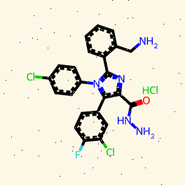 Cl.NCc1ccccc1-c1nc(C(=O)NN)c(-c2ccc(F)c(Cl)c2)n1-c1ccc(Cl)cc1